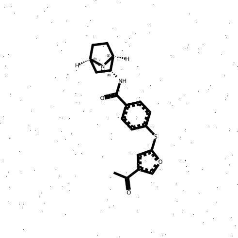 CC(=O)c1coc(Sc2ccc(C(=O)N[C@@H]3C[C@H]4CC[C@@H]3N4)cc2)c1